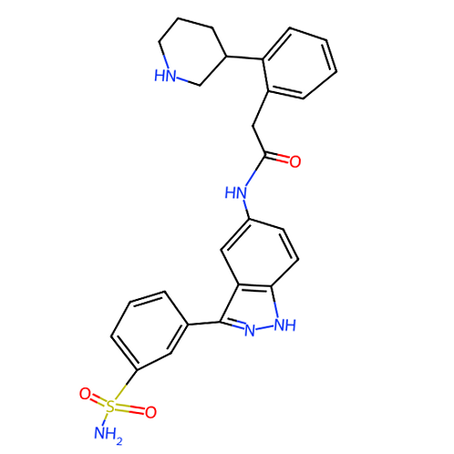 NS(=O)(=O)c1cccc(-c2n[nH]c3ccc(NC(=O)Cc4ccccc4C4CCCNC4)cc23)c1